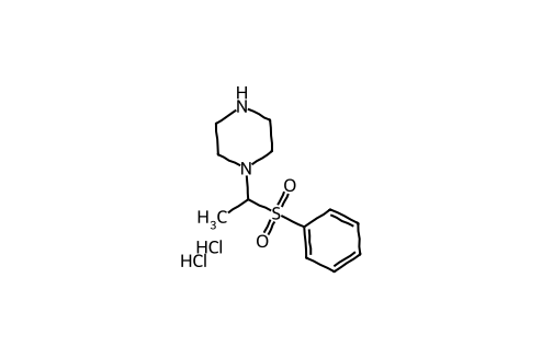 CC(N1CCNCC1)S(=O)(=O)c1ccccc1.Cl.Cl